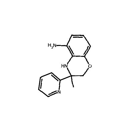 CC1(c2ccccn2)COc2cccc(N)c2N1